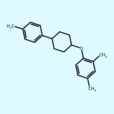 Cc1ccc(C2CCC(Oc3ccc(C)cc3C)CC2)cc1